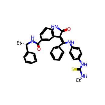 CCNC(=S)Nc1ccc(N/C(=C2\C(=O)Nc3ccc(C(=O)N[C@@H](CC)c4ccccc4)cc32)c2ccccc2)cc1